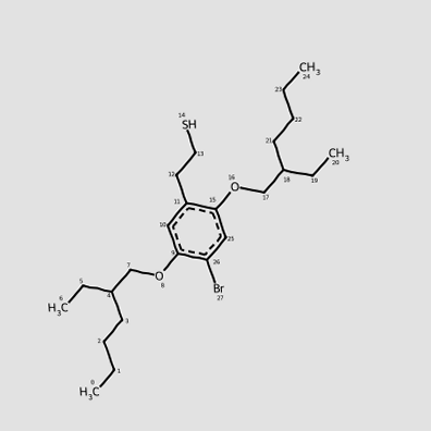 CCCCC(CC)COc1cc(CCS)c(OCC(CC)CCCC)cc1Br